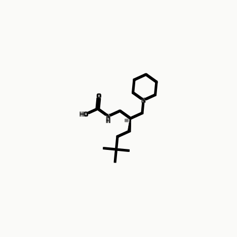 CC(C)(C)CC[C@@H](CNC(=O)O)CN1CCCCC1